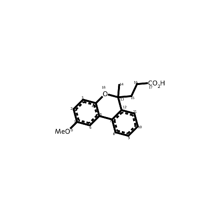 COc1ccc2c(c1)-c1ccccc1C(C)(CCC(=O)O)O2